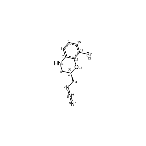 [N-]=[N+]=NC[C@H]1CNc2cccc(Br)c2O1